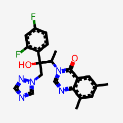 Cc1cc(C)c2ncn(C(C)C(O)(Cn3cncn3)c3ccc(F)cc3F)c(=O)c2c1